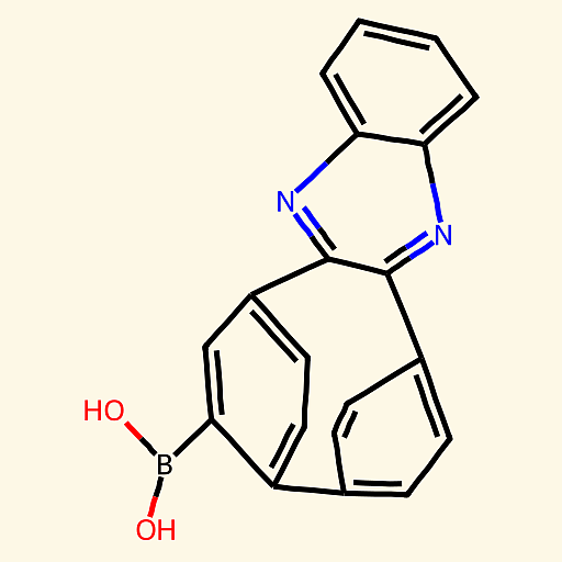 OB(O)c1cc2ccc1c1ccc(cc1)c1nc3ccccc3nc21